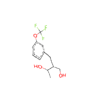 CC(O)C(CO)Cc1cccc(OC(F)(F)F)c1